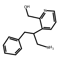 NCC(Cc1ccccc1)c1cccnc1CO